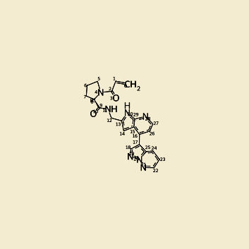 C=CC(=O)N1CCC[C@@H]1C(=O)NCc1cc2c(-c3cnn4ncccc34)ccnc2[nH]1